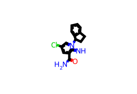 N=c1c(C(N)=O)cc(Cl)cn1C1CCc2ccccc21